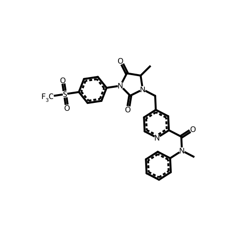 CC1C(=O)N(c2ccc(S(=O)(=O)C(F)(F)F)cc2)C(=O)N1Cc1ccnc(C(=O)N(C)c2ccccc2)c1